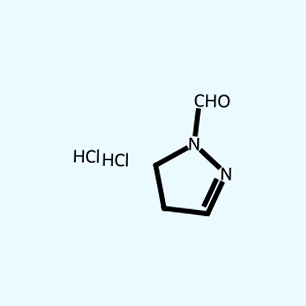 Cl.Cl.O=CN1CCC=N1